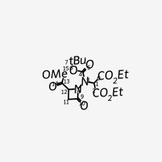 CCOC(=O)C(C(=O)OCC)N(C(=O)OC(C)(C)C)N1C(=O)CC1C(=O)OC